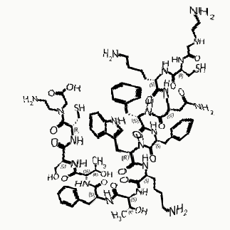 C[C@@H](O)[C@H](NC(=O)[C@H](Cc1ccccc1)NC(=O)[C@@H](NC(=O)[C@H](CCCCN)NC(=O)[C@@H](Cc1c[nH]c2ccccc12)NC(=O)[C@H](Cc1ccccc1)NC(=O)[C@H](Cc1ccccc1)NC(=O)[C@H](CC(N)=O)NC(=O)[C@H](CCCCN)NC(=O)[C@H](CS)NC(=O)CNCCN)[C@@H](C)O)C(=O)N[C@@H](CO)C(=O)N[C@@H](CS)C(=O)N(CCN)CC(=O)O